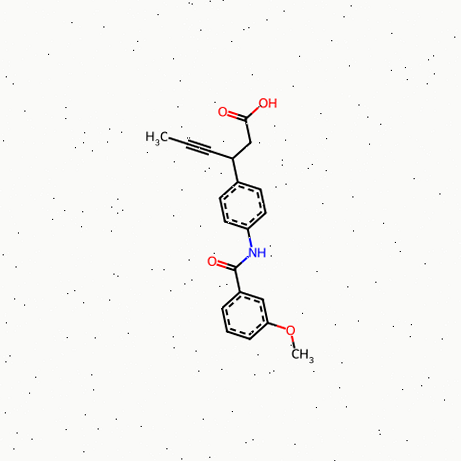 CC#CC(CC(=O)O)c1ccc(NC(=O)c2cccc(OC)c2)cc1